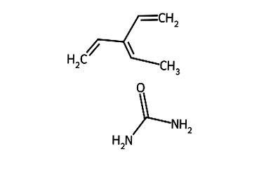 C=CC(C=C)=CC.NC(N)=O